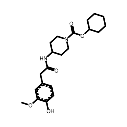 COc1cc(CC(=O)NC2CCN(C(=O)OC3CCCCC3)CC2)ccc1O